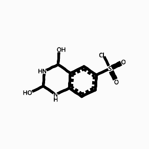 O=S(=O)(Cl)c1ccc2c(c1)C(O)NC(O)N2